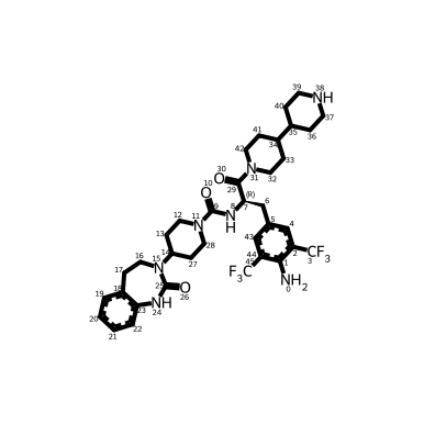 Nc1c(C(F)(F)F)cc(C[C@@H](NC(=O)N2CCC(N3CCc4ccccc4NC3=O)CC2)C(=O)N2CCC(C3CCNCC3)CC2)cc1C(F)(F)F